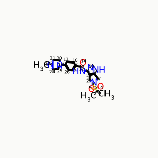 CC(C)S(=O)(=O)N1Cc2[nH]nc(NC(=O)c3ccc(N4CCN(C)CC4)cc3)c2C1